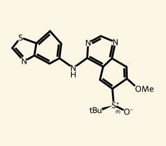 COc1cc2ncnc(Nc3ccc4scnc4c3)c2cc1[S@@+]([O-])C(C)(C)C